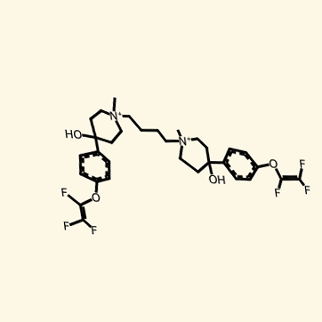 C[N+]1(CCCC[N+]2(C)CCC(O)(c3ccc(OC(F)=C(F)F)cc3)CC2)CCC(O)(c2ccc(OC(F)=C(F)F)cc2)CC1